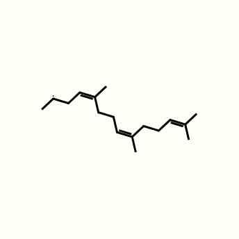 C[CH]CC=C(C)CCC=C(C)CCC=C(C)C